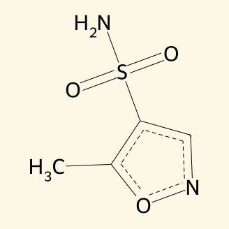 Cc1oncc1S(N)(=O)=O